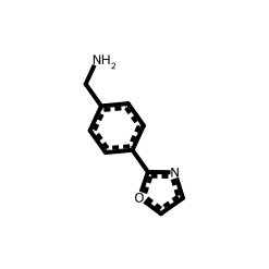 NCc1ccc(-c2ncco2)cc1